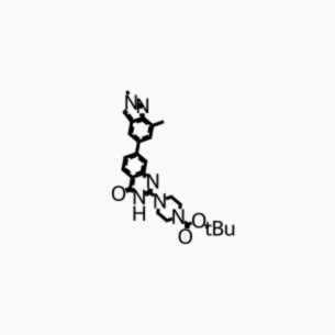 Cc1cc(-c2ccc3c(=O)[nH]c(N4CCN(C(=O)OC(C)(C)C)CC4)nc3c2)cc2cn(C)nc12